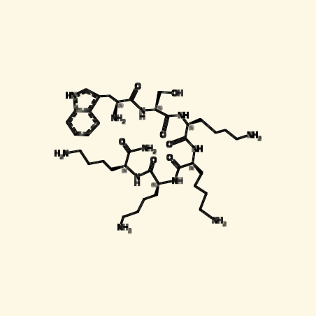 NCCCC[C@H](NC(=O)[C@H](CCCCN)NC(=O)[C@H](CCCCN)NC(=O)[C@H](CCCCN)NC(=O)[C@H](CO)NC(=O)[C@@H](N)Cc1c[nH]c2ccccc12)C(N)=O